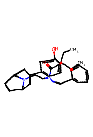 CCC(CC)C(=O)N(CCN1C2CCC1CC(c1cccc(O)c1)C2)Cc1ccccc1